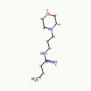 CCCC(=N)NCCCN1CCOCC1